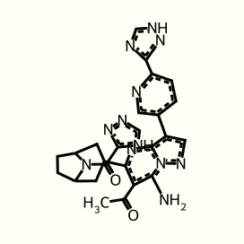 CC(=O)c1c(C2CC3CCC(C2)N3C(=O)c2nnc[nH]2)nc2c(-c3ccc(-c4nc[nH]n4)nc3)cnn2c1N